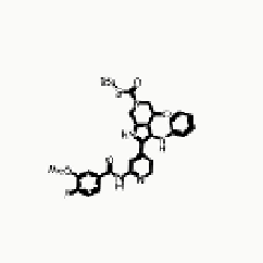 COc1cc(C(=O)NC2=NCCC(c3[nH]c4c(c3NC3=C=C=CC=C3)C(=O)CN(C(=O)SC(C)(C)C)C4)=C2)ccc1F